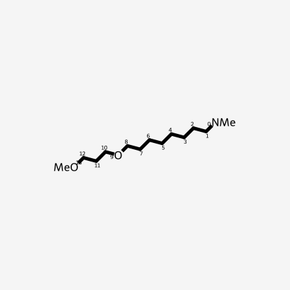 CNCCCCCCCCOCCCOC